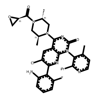 Cc1ccnc(C(C)C)c1-n1c(=O)nc(N2C[C@@H](C)N(C(=O)[C@H]3CO3)C[C@@H]2C)c2cc(Cl)c(-c3c(N)cccc3F)nc21